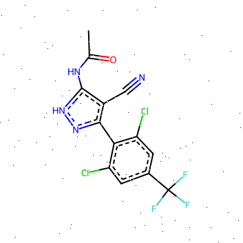 CC(=O)Nc1[nH]nc(-c2c(Cl)cc(C(F)(F)F)cc2Cl)c1C#N